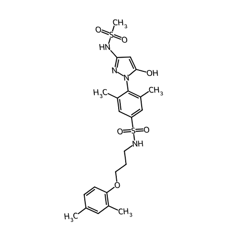 Cc1ccc(OCCCNS(=O)(=O)c2cc(C)c(-n3nc(NS(C)(=O)=O)cc3O)c(C)c2)c(C)c1